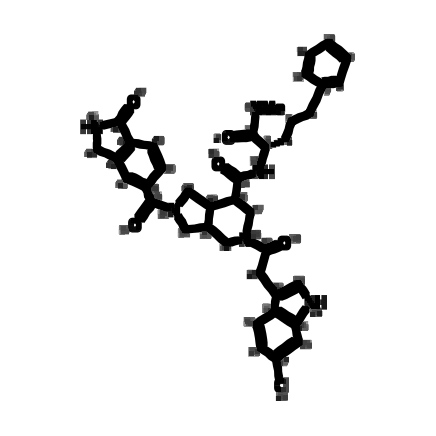 CNC(=O)[C@H](CCCc1ccccc1)NC(=O)C1CN(C(=O)Cc2c[nH]c3cc(Cl)ccc23)CC2CN(C(=O)c3ccc4c(c3)CNC4=O)CC21